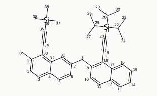 Cc1ccc2ccc(Cc3ccc4ccccc4c3C#C[Si](C(C)C)(C(C)C)C(C)C)cc2c1C#C[Si](C)(C)C